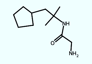 CC(C)(CC1CCCC1)NC(=O)CN